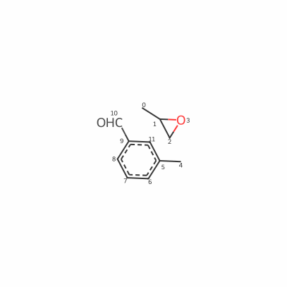 CC1CO1.Cc1cccc(C=O)c1